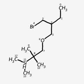 CCC(CBr)COCC(C)(C)[SiH](C)C